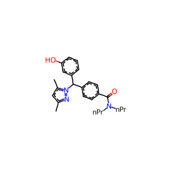 CCCN(CCC)C(=O)c1ccc(C(c2cccc(O)c2)n2nc(C)cc2C)cc1